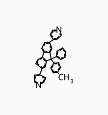 Cc1ccc(C2(c3ccccc3)c3cc(-c4ccncc4)ccc3-c3ccc(-c4ccncc4)cc32)cc1